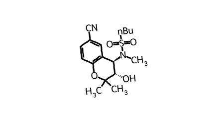 CCCCS(=O)(=O)N(C)[C@@H]1c2cc(C#N)ccc2OC(C)(C)[C@H]1O